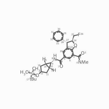 CNC(=O)c1cc(C(=O)N[C@@H]2[C@@H]3CC(O[Si](C)(C)C(C)(C)C)C[C@@H]32)cc2c1O[C@H](CF)[C@H]2c1ccccc1